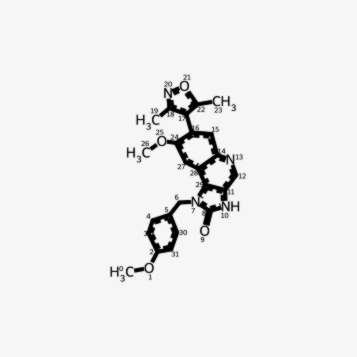 COc1ccc(Cn2c(=O)[nH]c3cnc4cc(-c5c(C)noc5C)c(OC)cc4c32)cc1